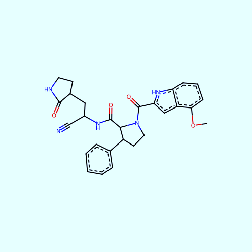 COc1cccc2[nH]c(C(=O)N3CCC(c4ccccc4)C3C(=O)NC(C#N)CC3CCNC3=O)cc12